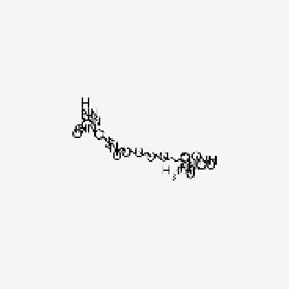 Cn1c(=O)n(C2CCC(=O)NC2=O)c2cccc(CCCOCCOCCOCCOCC(=O)N3CCN([C@H]4CC[C@H](Nc5ncnc6[nH]cc(C7CCOCC7)c56)CC4)CC3)c21